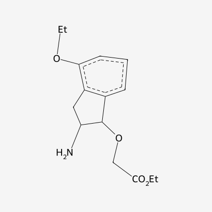 CCOC(=O)COC1c2cccc(OCC)c2CC1N